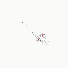 NCCOCCOCCOCCOCC(=O)N1C(=O)[C@@]2(c3ccc(Cl)cc31)[C@@H](c1ccccc1F)[C@H](C(=O)NC1CCCCC1)NC21CCCCC1